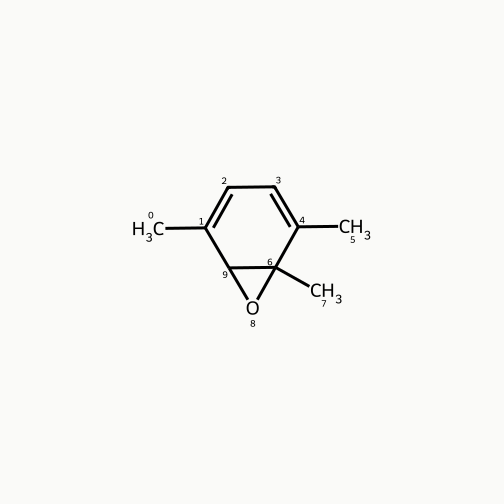 CC1=CC=C(C)C2(C)OC12